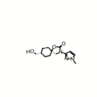 Cn1ccc(N2C[C@]3(CC[C@@H](CO)CC3)OC2=O)n1